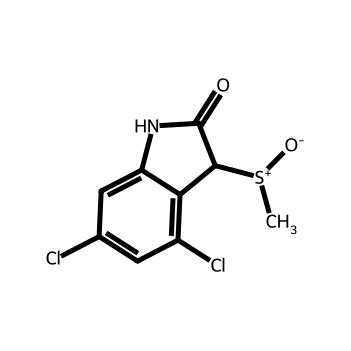 C[S+]([O-])C1C(=O)Nc2cc(Cl)cc(Cl)c21